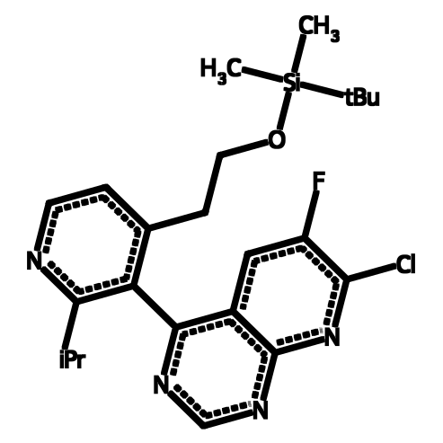 CC(C)c1nccc(CCO[Si](C)(C)C(C)(C)C)c1-c1ncnc2nc(Cl)c(F)cc12